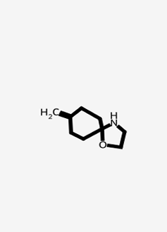 C=C1CCC2(CC1)NCCO2